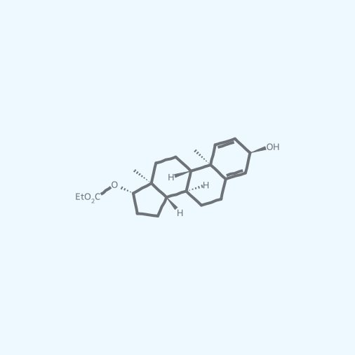 CCOC(=O)O[C@H]1CC[C@H]2[C@@H]3CCC4=C[C@H](O)C=C[C@]4(C)[C@H]3CC[C@]12C